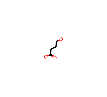 [O]CCCC([O])=O